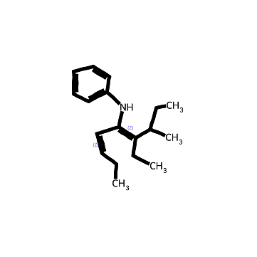 CC/C=C\C(Nc1ccccc1)=C(/CC)C(C)CC